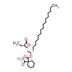 CCCCCCCCCCCCCCCCC[C@@H](C[C@H]1OC(=O)[C@@H]1CC)OC(=O)C1(C(N)=O)CCCCC1